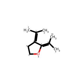 CC(C)=C1CCOC1=C(C)C